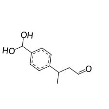 CC(CC=O)c1ccc(C(O)O)cc1